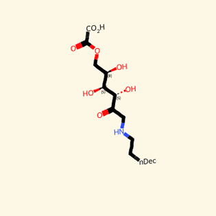 CCCCCCCCCCCCNCC(=O)[C@@H](O)[C@@H](O)[C@H](O)COC(=O)C(=O)O